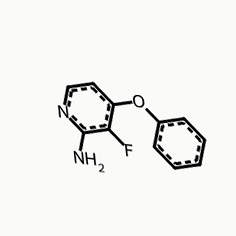 Nc1nccc(Oc2ccccc2)c1F